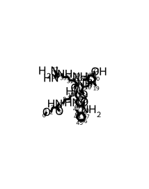 COCCC(=O)NCCCC[C@H](NC(=O)[C@H](Cc1c(C)cc(O)cc1C)NC(=O)[C@H](N)CCCNC(=N)N)C(=O)N[C@@H](Cc1ccccc1)C(N)=O